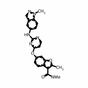 CNC(=O)c1c(C)oc2cc(Oc3ccnc(Nc4ccc5c(cnn5C)c4)n3)ccc12